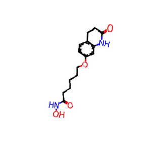 O=C(CCCCCOc1ccc2c(c1)NC(=O)CC2)NO